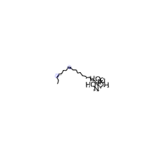 CC/C=C\CCC/C=C\CCCCCCCCCCC(O)(C[N+](C)(C)C)P(=O)(O)O